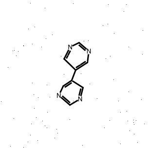 c1ncc(-c2cncnc2)cn1